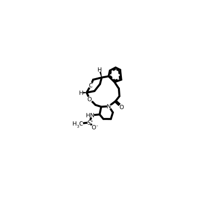 C[S+]([O-])NC1CCCN2C(=O)CCc3ccccc3[C@H]3CC[C@H](CC3)OCC12